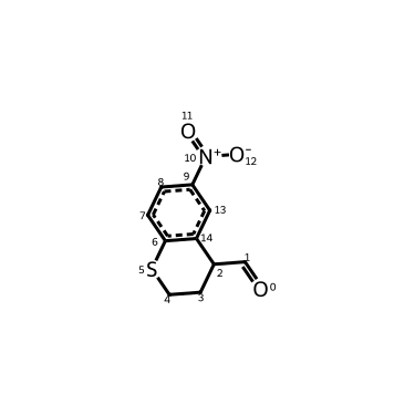 O=CC1CCSc2ccc([N+](=O)[O-])cc21